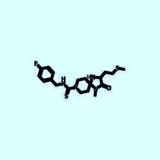 CSCCC1NC2(CCN(C(=S)NCc3ccc(F)cc3)CC2)N(C)C1=O